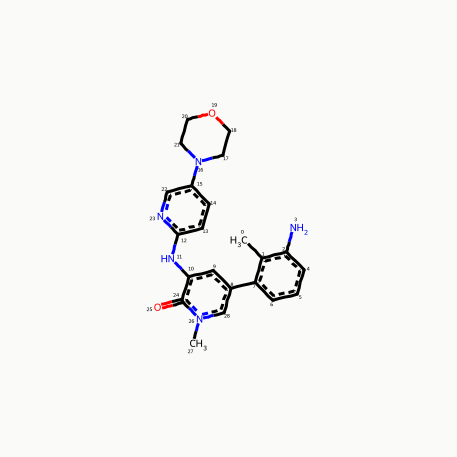 Cc1c(N)cccc1-c1cc(Nc2ccc(N3CCOCC3)cn2)c(=O)n(C)c1